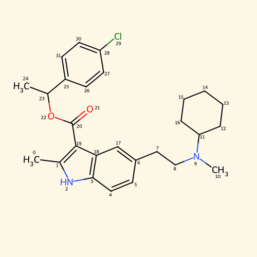 Cc1[nH]c2ccc(CCN(C)C3CCCCC3)cc2c1C(=O)OC(C)c1ccc(Cl)cc1